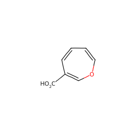 O=C(O)C1=COC=CC=C1